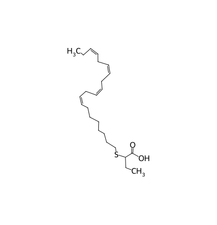 CC/C=C\C/C=C\C/C=C\C/C=C\CCCCCCCSC(CC)C(=O)O